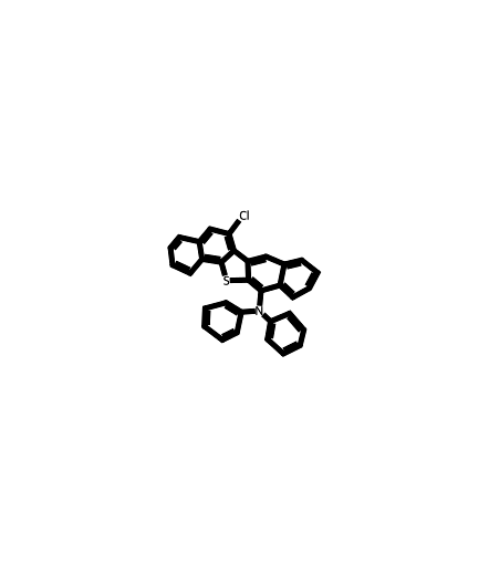 Clc1cc2ccccc2c2sc3c(N(c4ccccc4)c4ccccc4)c4ccccc4cc3c12